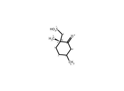 CC1CC[C@](C)(CS(=O)(=O)O)C(=O)C1